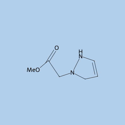 COC(=O)CN1CC=CN1